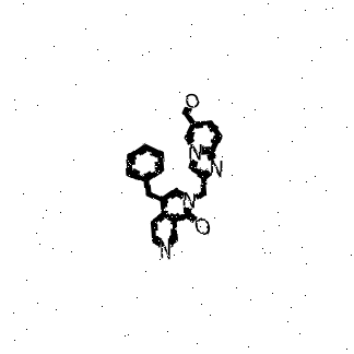 O=Cc1ccc2nc(Cn3cc(Cc4ccccc4)c4ccncc4c3=O)cn2c1